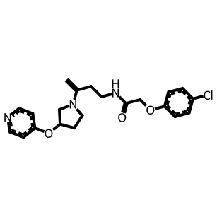 C=C(CCNC(=O)COc1ccc(Cl)cc1)N1CCC(Oc2ccncc2)C1